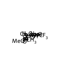 [2H]C1(N2CCC(OC(F)(F)F)CC2)CCc2nc(C)n(CCOc3ccc(Cl)cc3-c3cc(C)nc4c(C(=O)OC)csc34)c(=O)c2C1